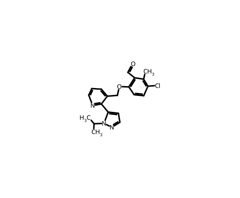 Cc1c(Cl)ccc(OCc2cccnc2-c2ccnn2C(C)C)c1C=O